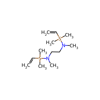 C=CS(C)(C)N(C)CCN(C)S(C)(C)C=C